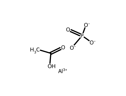 CC(=O)O.O=P([O-])([O-])[O-].[Al+3]